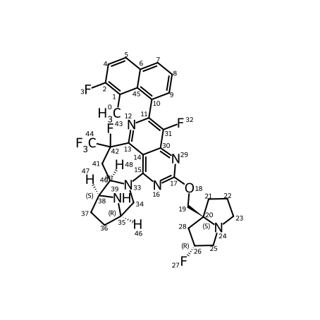 Cc1c(F)ccc2cccc(-c3nc4c5c(nc(OC[C@@]67CCCN6C[C@H](F)C7)nc5c3F)N3C[C@H]5CC[C@H](N5)[C@H]3CC4(F)C(F)(F)F)c12